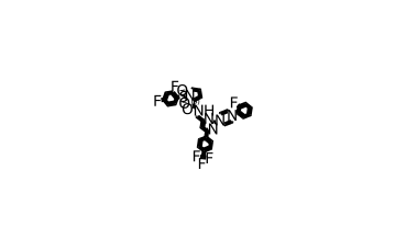 O=C(NCc1cc(-c2ccc(C(F)(F)F)cc2)nc(N2CCN(c3ccccc3F)CC2)n1)[C@@H]1CCCN1S(=O)(=O)c1ccc(F)cc1F